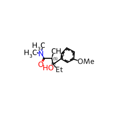 CC[C@](O)(c1cccc(OC)c1)[C@H](C)C(=O)N(C)C